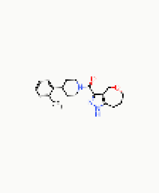 O=C(c1n[nH]c2c1COCCC2)N1CCC(c2ccccc2C(F)(F)F)CC1